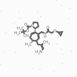 C/C(=C/N)CC1C=C(CNC(=O)COC2CC2)C([C@@H]2CCCN2C(=O)OC(C)(C)C)=CC[C@@H]1C